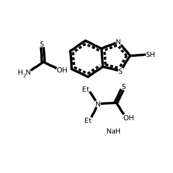 CCN(CC)C(O)=S.NC(O)=S.Sc1nc2ccccc2s1.[NaH]